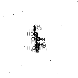 C=C(C#N)n1nc(Nc2cc(C#N)cc(N3CC[C@@H](NC(=O)OC)[C@H](O)C3)c2Cl)nc(NCC)/c1=N/C